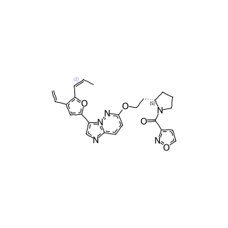 C=Cc1cc(-c2cnc3ccc(OCC[C@@H]4CCCN4C(=O)c4ccon4)nn23)oc1/C=C\C